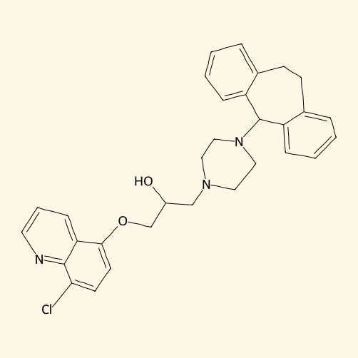 OC(COc1ccc(Cl)c2ncccc12)CN1CCN(C2c3ccccc3CCc3ccccc32)CC1